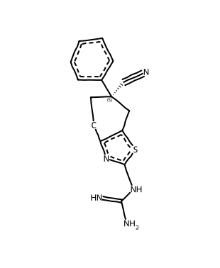 N#C[C@@]1(c2ccccc2)CCc2nc(NC(=N)N)sc2C1